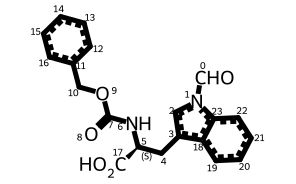 O=Cn1cc(C[C@H](NC(=O)OCc2ccccc2)C(=O)O)c2ccccc21